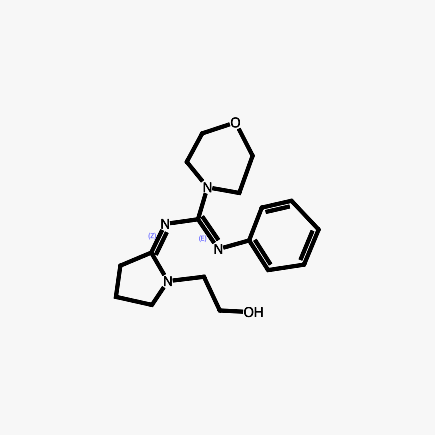 OCCN1CCC/C1=N/C(=N/c1ccccc1)N1CCOCC1